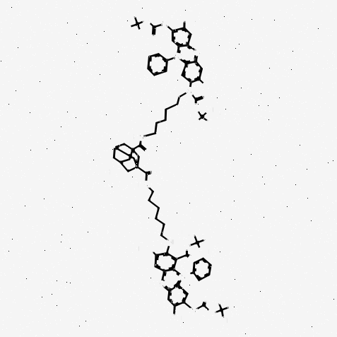 Cc1cc2nc3cc(C)c(N(CCCCCCNC(=O)C45CC6CC(CC(C(=O)NCCCCCCNc7c(C)cc8nc9cc(C)c(NC(=O)OC(C)(C)C)cc9[n+](-c9ccccc9)c8c7C(=O)OC(C)(C)C)(C6)C4)C5)C(=O)OC(C)(C)C)cc3[n+](-c3ccccc3)c2cc1NC(=O)OC(C)(C)C.[Cl-].[Cl-]